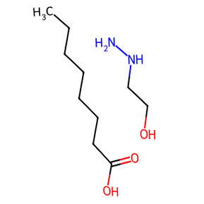 CCCCCCCC(=O)O.NNCCO